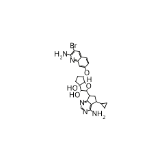 Nc1nc2cc(O[C@H]3CC[C@@]4(O)[C@@H]3OC(C3CC(C5CC5)c5c(N)ncnc53)[C@@H]4O)ccc2cc1Br